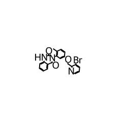 Cc1ccc(OCc2ncccc2Br)cc1-n1c(=O)[nH]c2ccccc2c1=O